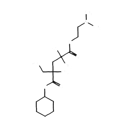 CCC(C)(CC(C)(C)C(=O)OCCN(C)C)C(=O)OC1CCCCC1